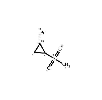 CC(C)[C@H]1CC1S(C)(=O)=O